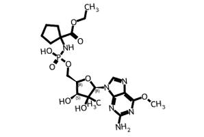 CCOC(=O)C1(NP(=O)(O)OC[C@H]2O[C@@H](n3cnc4c(OC)nc(N)nc43)C(C)(O)[C@H]2O)CCCC1